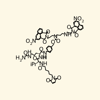 CC(C)[C@H](NC(=O)CCCCCN1C(=O)C=CC1=O)C(=O)N[C@@H](CCCNC(N)=O)C(=O)Nc1ccc(COC(=O)N(CCCNCCN2C(=O)c3cccc4cc([N+](=O)[O-])cc(c34)C2=O)CCN2C(=O)c3cccc4cc([N+](=O)[O-])cc(c34)C2=O)cc1